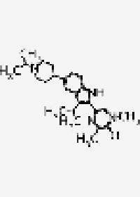 Cc1nc(-c2[nH]c3ccc(C4CCN(C(C)C)CC4)cc3c2C(C)C)cn(C)c1=O